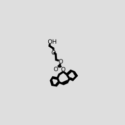 O=C(OCCOCCO)OC1Cc2ccccc2C#Cc2ccccc21